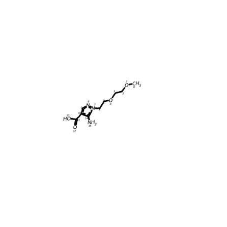 COCCOCCn1ncc(C(=O)O)c1N